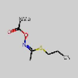 CNC(=O)ON=C(C)SCCC#N